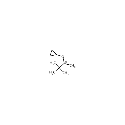 C[C@H](OC1CC1)C(C)(C)C